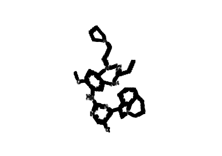 C=CC(=O)Nc1cc(Nc2ncc(Cl)c(-c3cn4c5c(cccc35)CCC4)n2)c(OC)cc1N(C)CCN1CCCC1